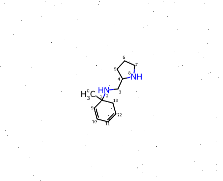 CC1(NCC2CCCN2)C=CC=CC1